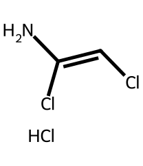 Cl.N/C(Cl)=C/Cl